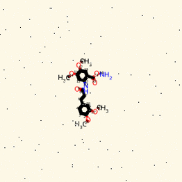 COc1ccc(/C=C/C(=O)Nc2cc(OC)c(OC)cc2C(=O)ON)cc1OC